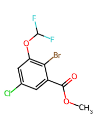 COC(=O)c1cc(Cl)cc(OC(F)F)c1Br